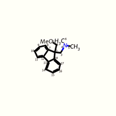 COCC1(CN(C)C)c2ccccc2-c2ccccc21